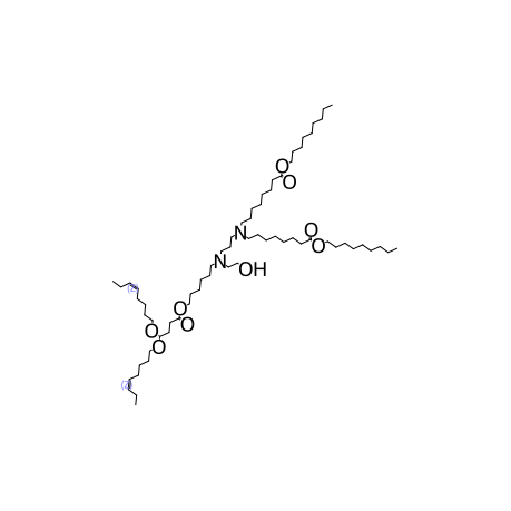 CC/C=C\CCCCOC(CCC(=O)OCCCCCCN(CCO)CCCN(CCCCCCCC(=O)OCCCCCCCCC)CCCCCCCC(=O)OCCCCCCCCC)OCCCC/C=C\CC